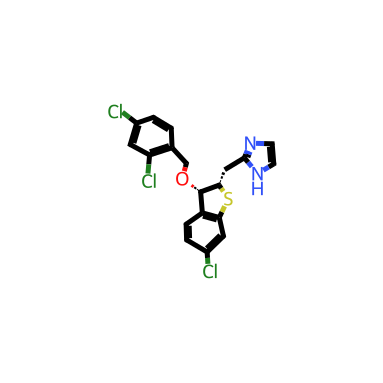 Clc1ccc(CO[C@H]2c3ccc(Cl)cc3S[C@H]2Cc2ncc[nH]2)c(Cl)c1